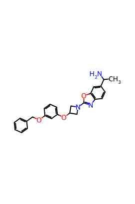 CC(N)c1ccc2nc(N3CC(Oc4cccc(OCc5ccccc5)c4)C3)oc2c1